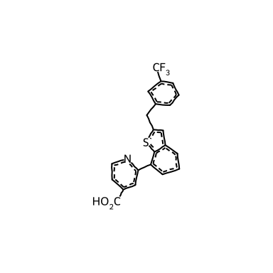 O=C(O)c1ccnc(-c2cccc3cc(Cc4cccc(C(F)(F)F)c4)sc23)c1